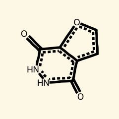 O=c1[nH][nH]c(=O)c2occc12